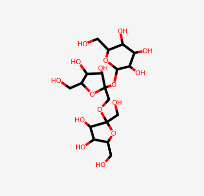 OCC1OC(OC2(COC3(CO)OC(CO)C(O)C3O)OC(CO)C(O)C2O)C(O)C(O)C1O